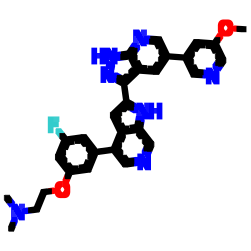 COc1cncc(-c2cnc3[nH]nc(-c4cc5c(-c6cc(F)cc(OCCN(C)C)c6)cncc5[nH]4)c3c2)c1